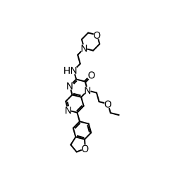 CCOCCn1c(=O)c(NCCN2CCOCC2)nc2cnc(-c3ccc4c(c3)CCO4)cc21